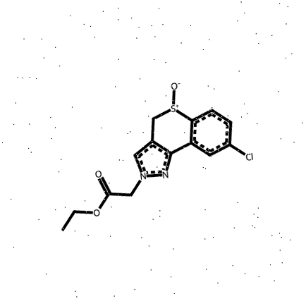 CCOC(=O)Cn1cc2c(n1)-c1cc(Cl)ccc1[S+]([O-])C2